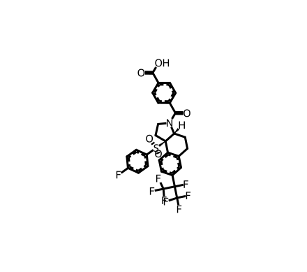 O=C(O)c1ccc(C(=O)N2CC[C@@]3(S(=O)(=O)c4ccc(F)cc4)c4ccc(C(F)(C(F)(F)F)C(F)(F)F)cc4CC[C@@H]23)cc1